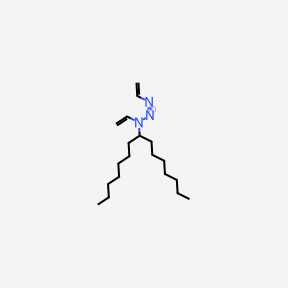 C=C/N=N\N(C=C)C(CCCCCCC)CCCCCCC